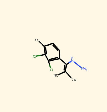 CCc1ccc(C(NN)=C(C#N)C#N)c(Cl)c1Cl